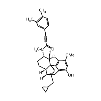 COc1cc(O)c2c3c1O[C@H]1[C@@H](N(C)C(=O)C#Cc4ccc(C)c(C)c4)CC[C@H]4[C@@H](C2)N(CC2CC2)CC[C@@]341